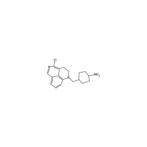 NC1CCC(CN2CCc3c(Cl)ncc4cccc2c34)CC1